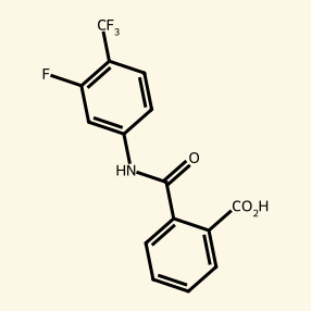 O=C(O)c1ccccc1C(=O)Nc1ccc(C(F)(F)F)c(F)c1